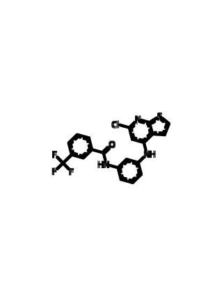 O=C(Nc1cccc(Nc2cc(Cl)nc3sccc23)c1)c1cccc(C(F)(F)F)c1